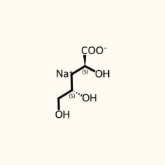 O=C([O-])[C@@H](O)C[C@H](O)CO.[Na+]